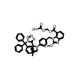 CCCC(=O)OCOC(=O)c1cccc2nc(OCC)n(Cc3ccc(-n4cc(C)cc4-c4nnnn4C(c4ccccc4)(c4ccccc4)c4ccccc4)cc3)c12